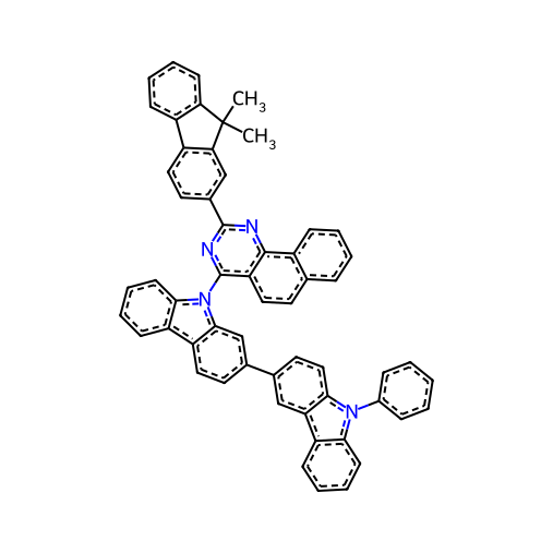 CC1(C)c2ccccc2-c2ccc(-c3nc(-n4c5ccccc5c5ccc(-c6ccc7c(c6)c6ccccc6n7-c6ccccc6)cc54)c4ccc5ccccc5c4n3)cc21